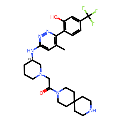 Cc1cc(N[C@@H]2CCCN(CC(=O)N3CCC4(CCNCC4)CC3)C2)nnc1-c1ccc(C(F)(F)F)cc1O